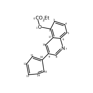 CCOC(=O)Oc1cccc2ncc(-c3ccccc3)cc12